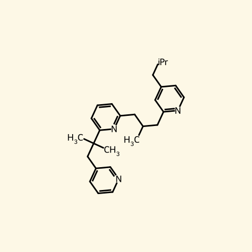 CC(C)Cc1ccnc(CC(C)Cc2cccc(C(C)(C)Cc3cccnc3)n2)c1